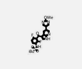 CCC(C)S(=O)(=O)Nc1ccc(F)c(C(=O)c2c[nH]c3ncc(-c4cnc(OC)nc4)cc23)c1F